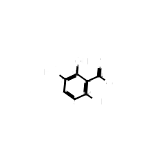 [O]C(=O)c1c(O)ccc(O)c1O